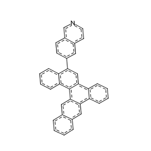 c1ccc2cc3c(cc2c1)c1ccccc1c1cc(-c2ccc4cnccc4c2)c2ccccc2c13